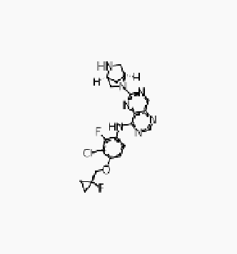 Fc1c(Nc2ncnc3cnc(N4C[C@@H]5C[C@H]4CN5)nc23)ccc(OCC2(F)CC2)c1Cl